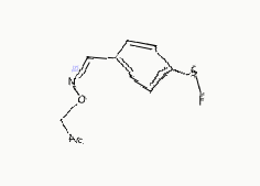 CC(=O)CO/N=C\c1ccc(SF)cc1